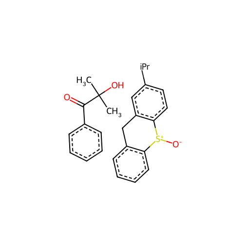 CC(C)(O)C(=O)c1ccccc1.CC(C)c1ccc2c(c1)Cc1ccccc1[S+]2[O-]